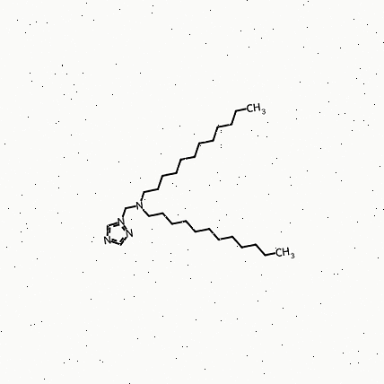 CCCCCCCCCCCCN(CCCCCCCCCCCC)Cn1cncn1